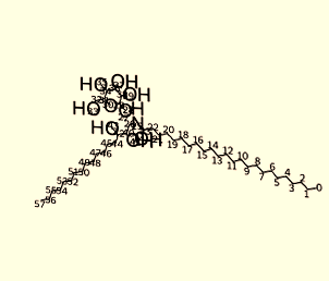 CCCCCCCCCCCCCCCCCCCCCCCC(O)N[C@@H](COC1OC(CO)C(O)C(O)C1O)[C@H](O)[C@H](O)CCCCCCCCCCCCCC